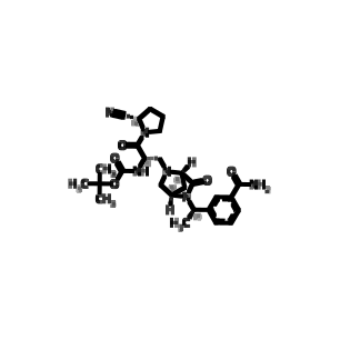 C[C@H](c1cccc(C(N)=O)c1)N1C(=O)[C@@H]2C[C@H]1CN2C[C@H](NC(=O)OC(C)(C)C)C(=O)N1CCC[C@H]1C#N